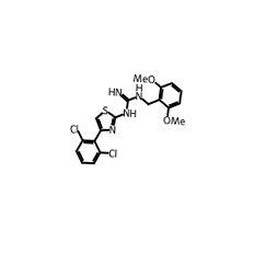 COc1cccc(OC)c1CNC(=N)Nc1nc(-c2c(Cl)cccc2Cl)cs1